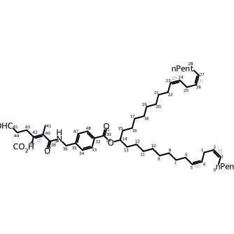 CCCCC/C=C\C/C=C\CCCCCCCCC(CCCCCCCC/C=C\C/C=C\CCCCC)OC(=O)c1ccc(CNC(=O)/C(C)=C(/CCC=O)C(=O)O)cc1